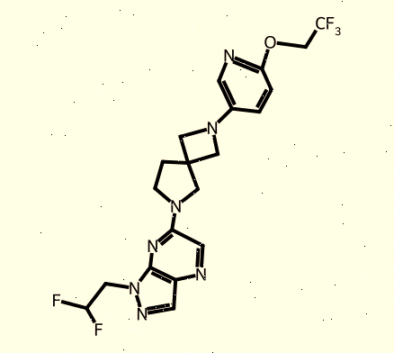 FC(F)Cn1ncc2ncc(N3CCC4(CN(c5ccc(OCC(F)(F)F)nc5)C4)C3)nc21